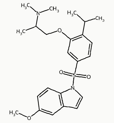 COc1ccc2c(ccn2S(=O)(=O)c2ccc(C(C)C)c(OCC(C)N(C)C)c2)c1